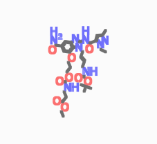 CCOC(=O)CCNC(=O)OCCCOc1cc(C(N)=O)cc2nc(NC(=O)c3cc(C)nn3CC)n(C/C=C/CNC(=O)OC(C)(C)C)c12